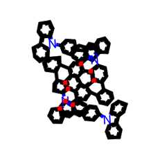 c1ccc(-c2cc(-c3ccccc3-c3ccc(-n4c5ccccc5c5ccccc54)cc3)c3ccc4c(-c5ccccc5-c5ccc(-n6c7ccccc7c7ccccc76)cc5)cc(-c5ccccc5-c5ccc(-n6c7ccccc7c7ccccc76)cc5)c5ccc2c3c54)c(-c2ccc(-n3c4ccccc4c4ccccc43)cc2)c1